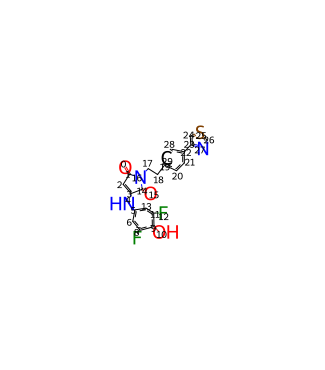 O=C1C=C(Nc2cc(F)c(O)c(F)c2)C(=O)N1CCc1ccc(-c2cscn2)cc1